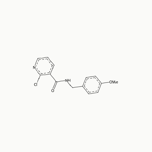 COc1ccc(CNC(=O)c2cccnc2Cl)cc1